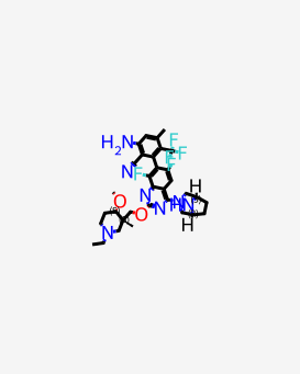 CCN1CC[C@H](OC)[C@](C)(COc2nc(N3C[C@H]4CC[C@@H](C3)N4)c3cc(F)c(-c4c(C#N)c(N)cc(C)c4C(F)(F)F)c(F)c3n2)C1